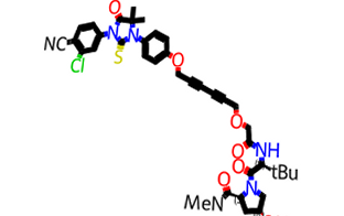 CNC(=O)[C@@H]1C[C@@H](O)CN1C(=O)[C@@H](NC(=O)COCC#CC#CCOc1ccc(N2C(=S)N(c3ccc(C#N)c(Cl)c3)C(=O)C2(C)C)cc1)C(C)(C)C